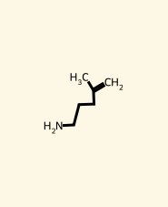 C=C(C)CCCN